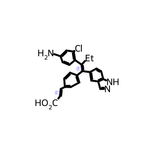 CC/C(=C(/c1ccc(/C=C/C(=O)O)cc1)c1ccc2[nH]ncc2c1)c1ccc(N)cc1Cl